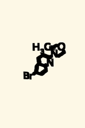 C[C@@H]1COCCN1c1ccc2cc(Br)ccc2n1